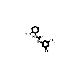 N[C@H]1CCCCC1NC(=S)Nc1cc(C(F)(F)F)cc(C(F)(F)F)c1